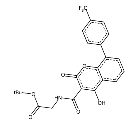 CC(C)(C)OC(=O)CNC(=O)c1c(O)c2cccc(-c3ccc(C(F)(F)F)cc3)c2oc1=O